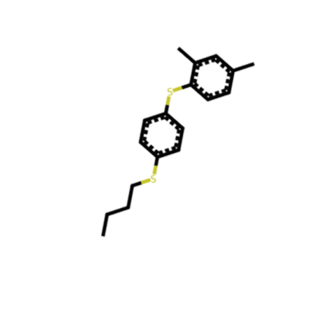 CCCCSc1ccc(Sc2ccc(C)cc2C)cc1